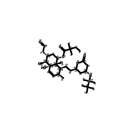 CCC(C)(C)C(=O)O[C@H]1C[C@@H](CN=O)[C@H](Cl)[C@]2(O)C=C[C@H](C)[C@H](CC[C@@H]3C[C@@H](O[Si](C)(C)C(C)(C)C)CC(=O)O3)[C@@H]12